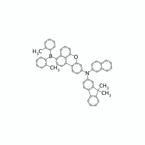 Cc1ccccc1B(c1ccccc1C)c1ccc2c3c(cccc13)Oc1cc(N(c3ccc4c(c3)C(C)(C)c3ccccc3-4)c3ccc4ccccc4c3)ccc1-2